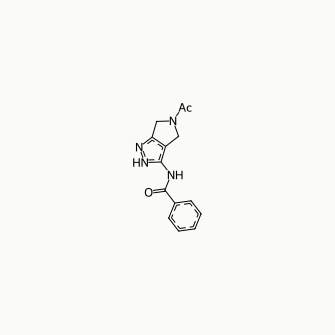 CC(=O)N1Cc2n[nH]c(NC(=O)c3ccccc3)c2C1